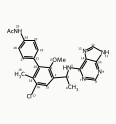 COc1c(C(C)Nc2ncnc3[nH]cnc23)cc(Cl)c(C)c1-c1ccc(NC(C)=O)cc1